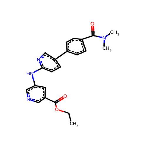 CCOC(=O)c1cncc(Nc2ccc(-c3ccc(C(=O)N(C)C)cc3)cn2)c1